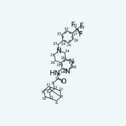 O=C(CC12CC3CC(CC(C3)C1)C2)Nc1ncnc2c1CCN(Cc1ccc(C(F)(F)F)cc1)C2